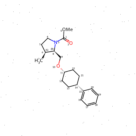 COC(=O)N1CC[C@H](C)[C@@H]1CO[C@H]1CC[C@@H](c2ccccc2)CC1